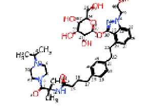 CC(C)N1CCN(C(=O)C(C)(C)NC(=O)CCCc2ccc(CCc3cccc4c3c(O[C@@H]3O[C@H](CO)[C@@H](O)[C@H](O)[C@H]3O)nn4CCO)cc2)CC1